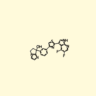 OC1(c2cccc(-c3csc(-c4c[nH]c5ncc(F)c(F)c45)n3)c2)CCn2ccnc21